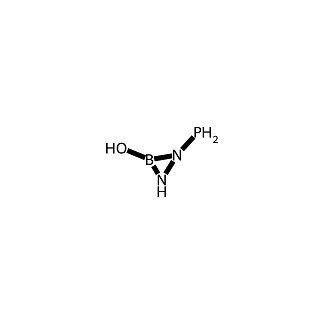 OB1NN1P